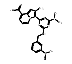 Cc1cc2c(C(N)=O)cccn2c1-c1nc(NCc2cccc(B(O)O)c2)nc(N(C)C)n1